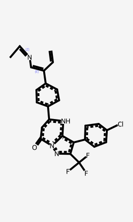 C=C/C(=C\N=C/C)c1ccc(-c2cc(=O)n3nc(C(F)(F)F)c(-c4ccc(Cl)cc4)c3[nH]2)cc1